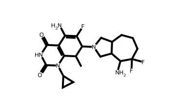 CC1c2c(c(=O)[nH]c(=O)n2C2CC2)C(N)=C(F)C1N1CC2CCCC(F)(F)C(N)C2C1